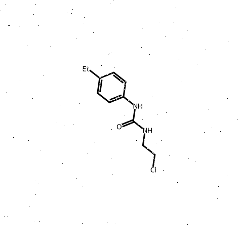 CCc1ccc(NC(=O)NCCCl)cc1